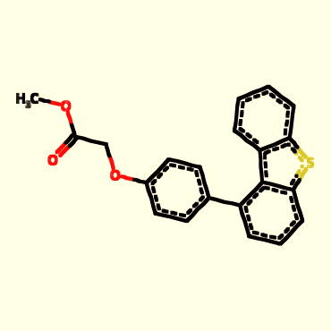 COC(=O)COc1ccc(-c2cccc3sc4ccccc4c23)cc1